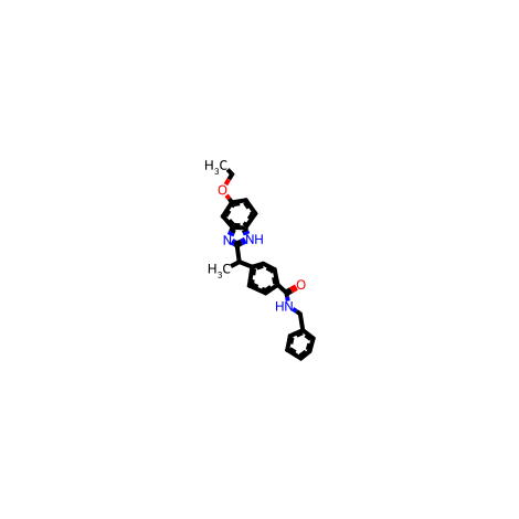 CCOc1ccc2[nH]c(C(C)c3ccc(C(=O)NCc4ccccc4)cc3)nc2c1